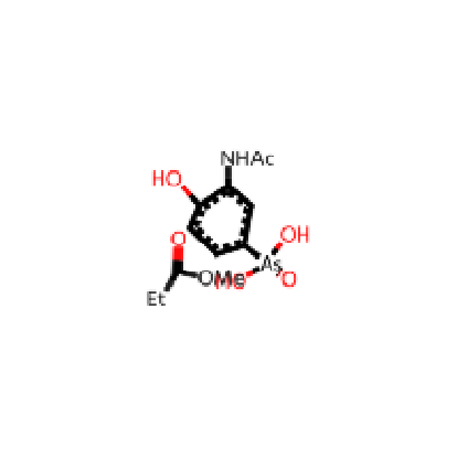 CC(=O)Nc1cc([As](=O)(O)O)ccc1O.CCC(=O)OC